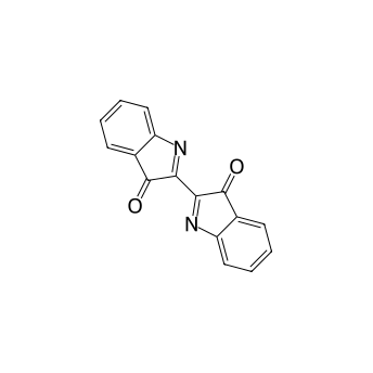 O=C1C(C2=Nc3ccccc3C2=O)=Nc2ccccc21